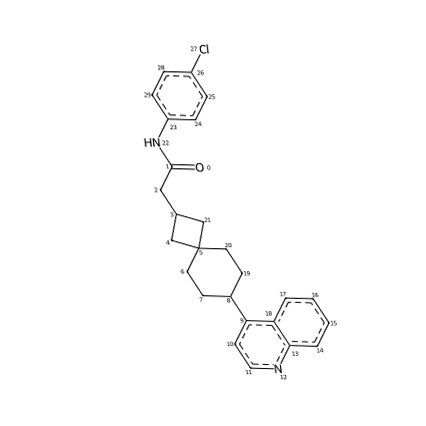 O=C(CC1CC2(CCC(c3ccnc4ccccc34)CC2)C1)Nc1ccc(Cl)cc1